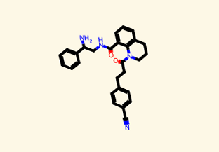 N#Cc1ccc(CCC(=O)N2CCCc3cccc(C(=O)NCC(N)c4ccccc4)c32)cc1